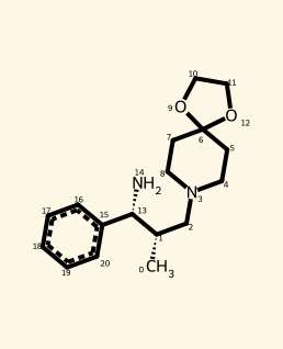 C[C@@H](CN1CCC2(CC1)OCCO2)[C@@H](N)c1ccccc1